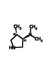 C[C@H]1CNC[C@@H]1N(C)C